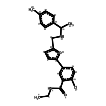 CCNC(=O)c1cc(-c2ccc(CNC(C)c3ccc(C)cc3)o2)ccc1Cl